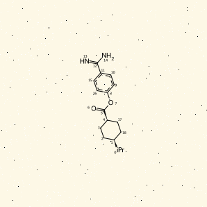 CC(C)[C@H]1CC[C@@H](C(=O)Oc2ccc(C(=N)N)cc2)CC1